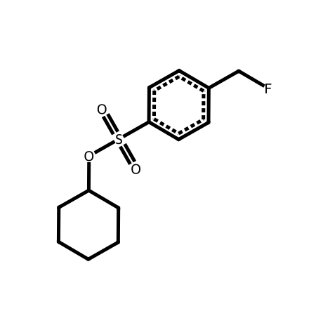 O=S(=O)(OC1CCCCC1)c1ccc(CF)cc1